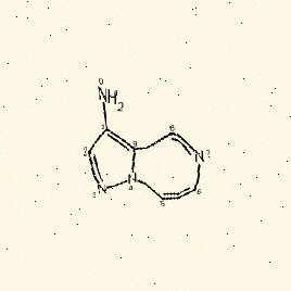 Nc1cnn2ccncc12